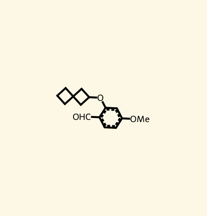 COc1ccc(C=O)c(OC2CC3(CCC3)C2)c1